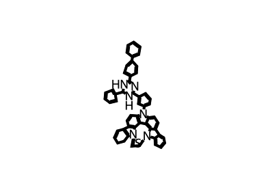 C1=Cc2c(n3c4ccc(s4)n4c5ccccc5c5ccc6c(c7c(ccc2c73)n6-c2cccc(C3N=C(c6ccc(-c7ccccc7)cc6)NC(c6ccccc6)N3)c2)c54)CC1